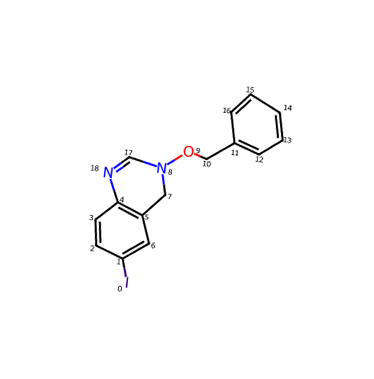 Ic1ccc2c(c1)CN(OCc1ccccc1)C=N2